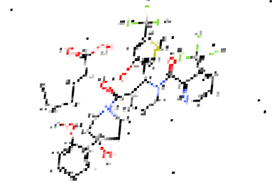 CCC[C@H]1N(C(=O)c2ncccc2C(F)(F)F)CCC[C@@]1(Oc1csc(C(F)(F)F)c1)C(=O)N1CCC(O)(c2ccccc2OC[C@H](CC)CCCC(=O)O)CC1